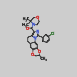 CC1COc2cc3c(cc2O1)-n1c(-c2cccc(Cl)c2)nc(C(=O)N2CCOCC2(C)C)c1CC3